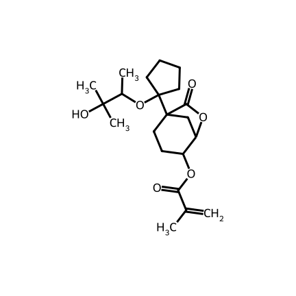 C=C(C)C(=O)OC1CCC2(C3(OC(C)C(C)(C)O)CCCC3)CC1OC2=O